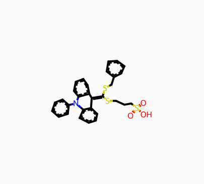 O=S(=O)(O)CCCSC(SCc1ccccc1)=C1c2ccccc2N(c2ccccc2)c2ccccc21